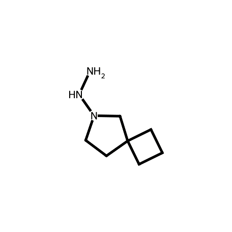 NNN1CCC2(CCC2)C1